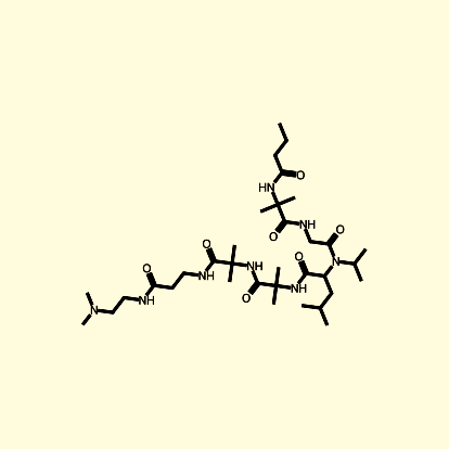 CCCC(=O)NC(C)(C)C(=O)NCC(=O)N(C(C)C)C(CC(C)C)C(=O)NC(C)(C)C(=O)NC(C)(C)C(=O)NCCC(=O)NCCN(C)C